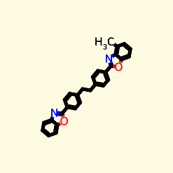 Cc1cccc2oc(-c3ccc(CCc4ccc(-c5nc6ccccc6o5)cc4)cc3)nc12